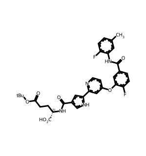 Cc1ccc(F)c(NC(=O)c2ccc(F)c(Oc3ccnc(-c4cc(C(=O)N[C@@H](CCC(=O)OC(C)(C)C)C(=O)O)c[nH]4)c3)c2)c1